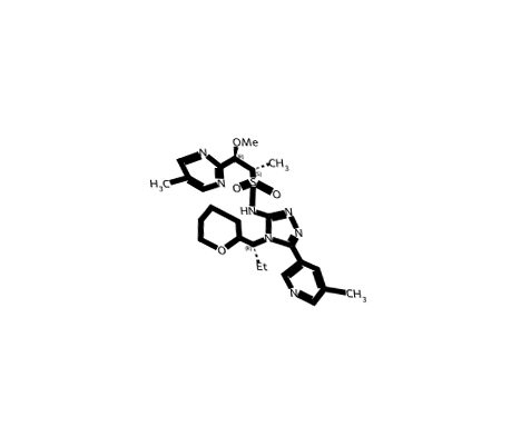 CC[C@H](C1CCCCO1)n1c(NS(=O)(=O)[C@@H](C)[C@H](OC)c2ncc(C)cn2)nnc1-c1cncc(C)c1